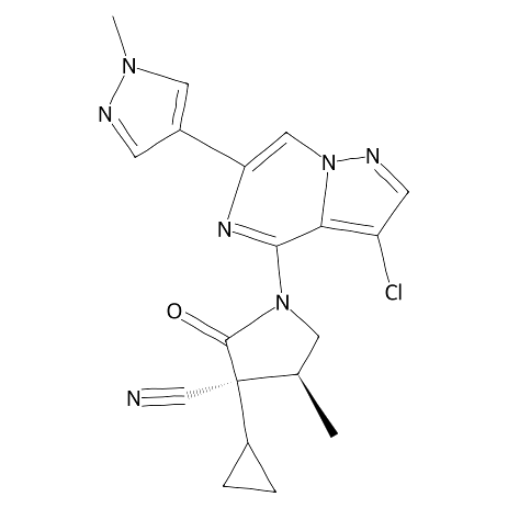 C[C@@H]1CN(c2nc(-c3cnn(C)c3)cn3ncc(Cl)c23)C(=O)[C@]1(C#N)C1CC1